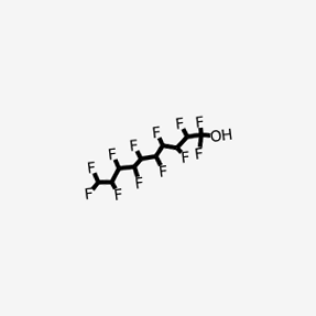 OC(F)(F)C(F)C(F)C(F)C(F)C(F)C(F)C(F)C(F)C(F)F